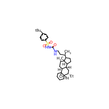 CC[C@H]1C[C@@H]2[C@H](CC[C@]3(C)C([C@H](C)CCNC(=O)NS(=O)(=O)c4ccc(C(C)(C)C)cc4)CC[C@@H]23)[C@@]2(C)CCCC[C@@H]12